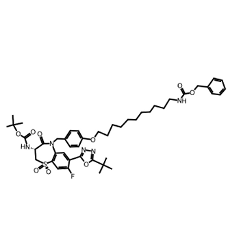 CC(C)(C)OC(=O)N[C@H]1CS(=O)(=O)c2cc(F)c(-c3nnc(C(C)(C)C)o3)cc2N(Cc2ccc(OCCCCCCCCCCCNC(=O)OCc3ccccc3)cc2)C1=O